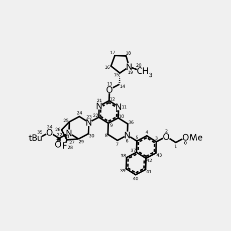 COCOc1cc(N2CCc3c(nc(OC[C@@H]4CCCN4C)nc3N3CC4CC(F)C(C3)N4C(=O)OC(C)(C)C)C2)c2ccccc2c1